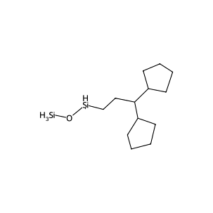 [SiH3]O[SiH]CCC(C1CCCC1)C1CCCC1